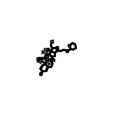 C[C@]12C=CC(=O)C=C1CC[C@H]1[C@@H]3CC(OCCOC4CCCCO4)[C@](O)(C(=O)CCl)[C@@]3(C)CC(O)[C@@]12F